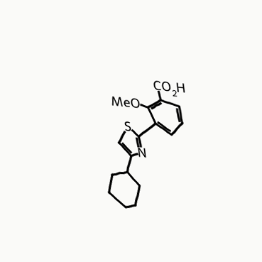 COc1c(C(=O)O)cccc1-c1nc(C2CCCCC2)cs1